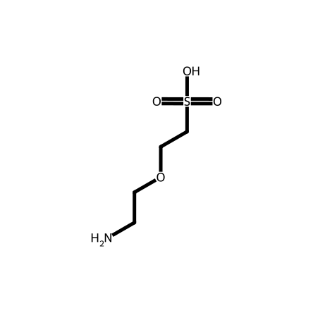 NCCOCCS(=O)(=O)O